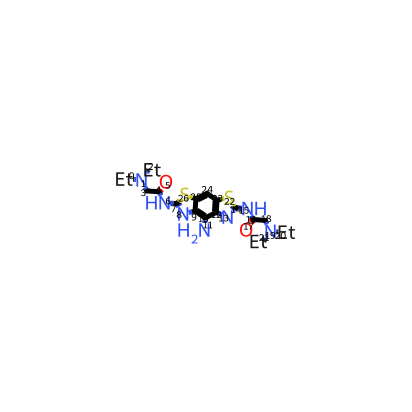 CCN(CC)CC(=O)Nc1nc2c(N)c3nc(NC(=O)CN(CC)CC)sc3cc2s1